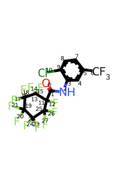 O=C(Nc1cc(C(F)(F)F)ccc1Cl)C1(F)C(F)(F)C(F)(F)C(F)(F)C(F)(F)C1(F)F